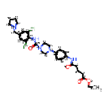 CCOC(=O)CCCC(=O)Nc1ccc(N2CCN(C(=O)Nc3c(Cl)cc(CN4CCCC4)cc3Cl)CC2)cc1